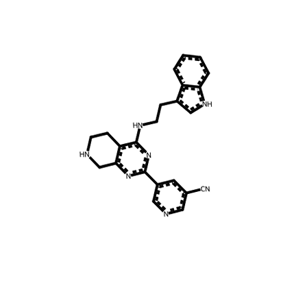 N#Cc1cncc(-c2nc3c(c(NCCc4c[nH]c5ccccc45)n2)CCNC3)c1